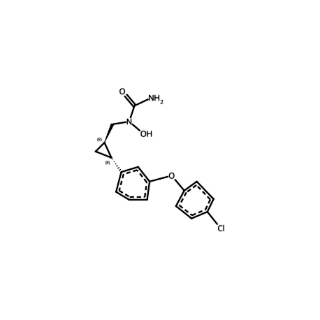 NC(=O)N(O)C[C@@H]1C[C@H]1c1cccc(Oc2ccc(Cl)cc2)c1